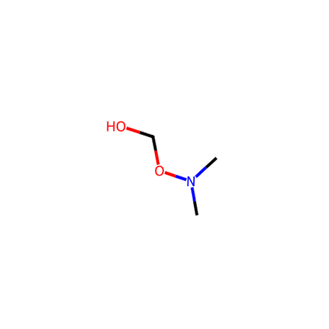 CN(C)OCO